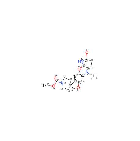 CN(c1ccc2c(c1)OCC21CCN(C(=O)OC(C)(C)C)CC1)C1CCC(=O)NC1=O